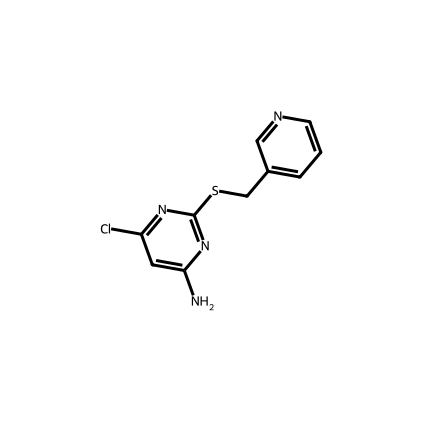 Nc1cc(Cl)nc(SCc2cccnc2)n1